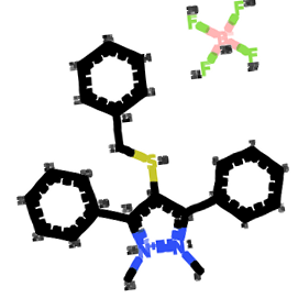 Cn1c(-c2ccccc2)c(SCc2ccccc2)c(-c2ccccc2)[n+]1C.F[B-](F)(F)F